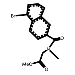 COC(=O)CN(C)C(=O)c1ccc2c(Br)cccc2c1